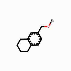 CCOCc1ccc2c(c1)CCCC2